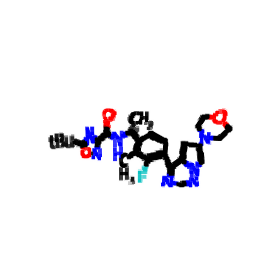 Cc1c([C@@H](C)NC(=O)c2noc(C(C)(C)C)n2)ccc(-c2ncnn3cc(N4CCOCC4)cc23)c1F